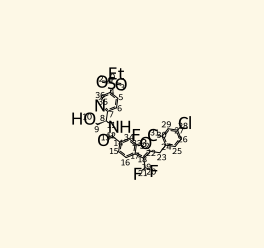 CCS(=O)(=O)c1ccc([C@H](CO)NC(=O)c2ccc3c(C(F)F)c(Cc4ccc(Cl)cc4C(F)(F)F)oc3c2)nc1